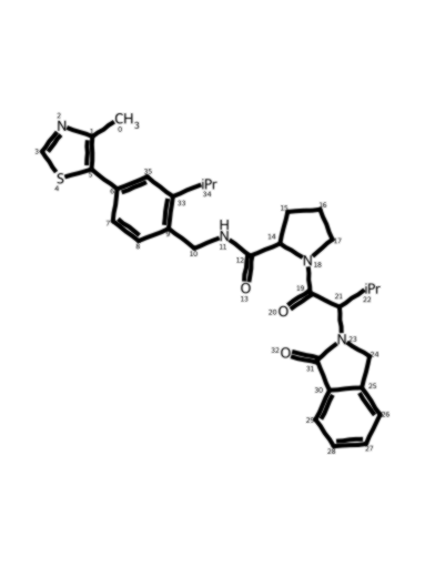 Cc1ncsc1-c1ccc(CNC(=O)C2CCCN2C(=O)C(C(C)C)N2Cc3ccccc3C2=O)c(C(C)C)c1